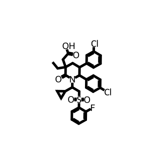 CCC1(CC(=O)O)CC(c2cccc(Cl)c2)C(c2ccc(Cl)cc2)N(C(CS(=O)(=O)c2ccccc2F)C2CC2)C1=O